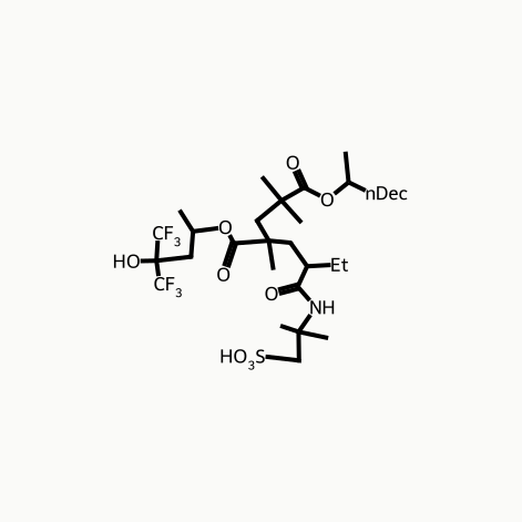 CCCCCCCCCCC(C)OC(=O)C(C)(C)CC(C)(CC(CC)C(=O)NC(C)(C)CS(=O)(=O)O)C(=O)OC(C)CC(O)(C(F)(F)F)C(F)(F)F